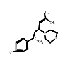 CC(C)=CC(C[C@H](C)c1ccc(C)cc1)N1CCOCC1